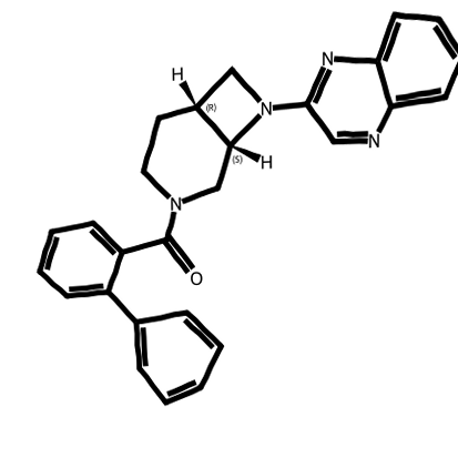 O=C(c1ccccc1-c1ccccc1)N1CC[C@@H]2CN(c3cnc4ccccc4n3)[C@@H]2C1